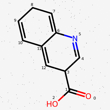 O=C(O)C1C=NC2=CCC=CC2=C1